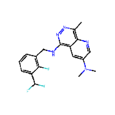 Cc1nnc(NCc2cccc(C(F)F)c2F)c2cc(N(C)C)cnc12